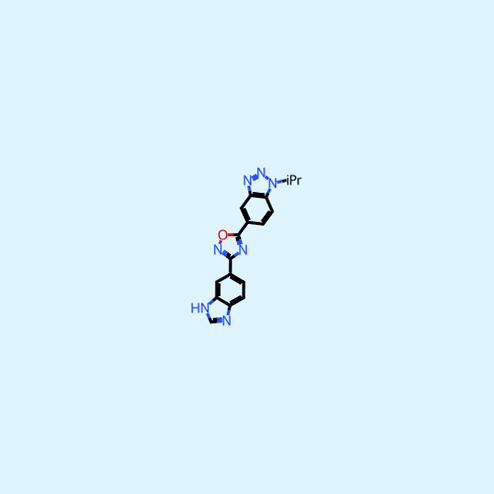 CC(C)n1nnc2cc(-c3nc(-c4ccc5nc[nH]c5c4)no3)ccc21